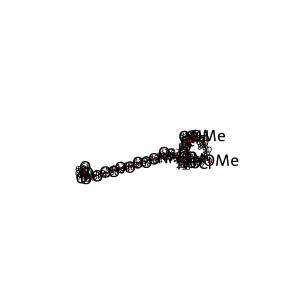 COc1cc2cc(c1Cl)N(C)C(=O)C[C@H](OC(=O)[C@H](C)N(C)C(=O)CCC(C)(C)SCC(=O)NCCOCCOCCOCCOCCOCCOCCOCCOCCC(=O)ON1C(=O)CCC1=O)[C@]1(C)O[C@H]1[C@H](C)[C@@H]1C[C@@](O)(NC(=O)O1)[C@H](OC)/C=C/C=C(\C)C2